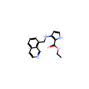 CCOC(=O)c1[nH]ccc1NCc1cccc2ccncc12